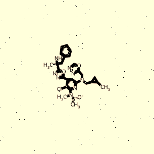 CC1CC1CN(Cc1nnco1)c1cc(-c2nnc([C@](C)(N)Cc3ccccc3)o2)c(Cl)c(N(C)[S+](C)[O-])n1